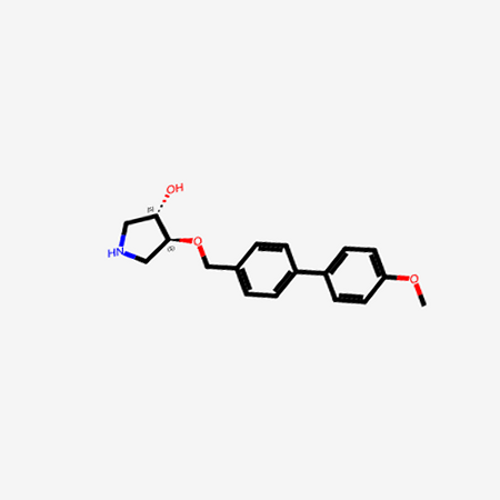 COc1ccc(-c2ccc(CO[C@H]3CNC[C@@H]3O)cc2)cc1